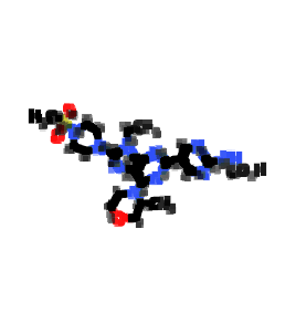 C[C@H]1COCCN1c1nc(-c2cnc(NC(=O)O)nc2)nc2c1nc(N1CCN(S(C)(=O)=O)CC1)n2CC(F)(F)F